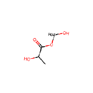 CC(O)C(=O)[O][AlH][OH]